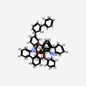 c1ccc(-c2cccc(-c3ccc(N(c4ccc(-c5ccccc5-n5c6ccccc6c6ccccc65)cc4)c4ccccc4-c4cccc5oc6c7ccccc7ccc6c45)cc3)c2)cc1